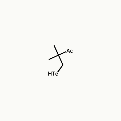 CC(=O)C(C)(C)C[TeH]